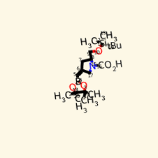 CC1(C)OB(C=C2CC(CO[Si](C)(C)C(C)(C)C)N(C(=O)O)C2)OC1(C)C